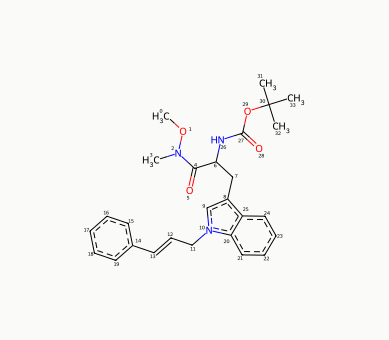 CON(C)C(=O)C(Cc1cn(CC=Cc2ccccc2)c2ccccc12)NC(=O)OC(C)(C)C